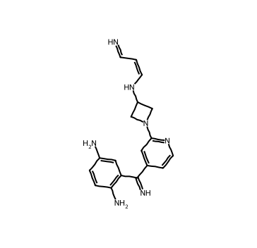 N=C/C=C\NC1CN(c2cc(C(=N)c3cc(N)ccc3N)ccn2)C1